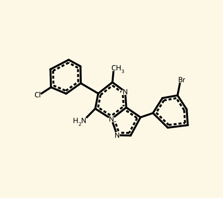 Cc1nc2c(-c3cccc(Br)c3)cnn2c(N)c1-c1cccc(Cl)c1